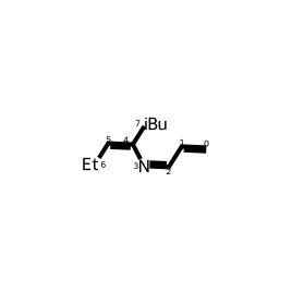 C=C/C=N\C(=C/CC)C(C)CC